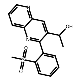 CC(O)c1cc2ncccc2nc1-c1ccccc1S(C)(=O)=O